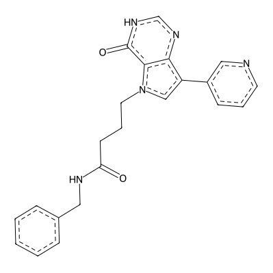 O=C(CCCn1cc(-c2cccnc2)c2nc[nH]c(=O)c21)NCc1ccccc1